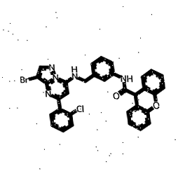 O=C(Nc1cccc(CNc2cc(-c3ccccc3Cl)nc3c(Br)cnn23)c1)C1c2ccccc2Oc2ccccc21